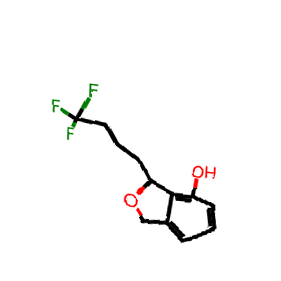 Oc1cccc2c1C(CCCC(F)(F)F)OC2